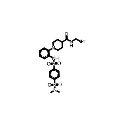 CC(C)CNC(=O)C1CCN(c2ccccc2NS(=O)(=O)c2ccc(S(=O)(=O)N(C)C)cc2)CC1